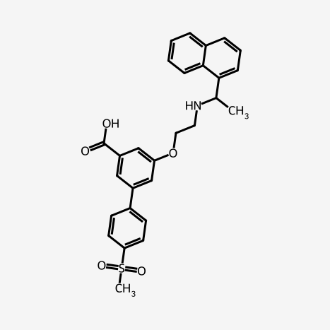 CC(NCCOc1cc(C(=O)O)cc(-c2ccc(S(C)(=O)=O)cc2)c1)c1cccc2ccccc12